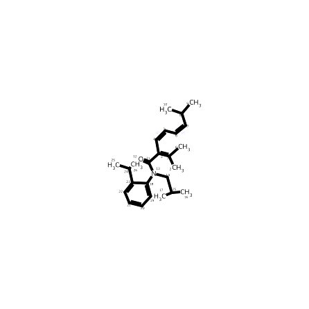 CC(C)=C(/C=C\C=C/C(C)C)C(=O)N(CC(C)C)c1ccccc1C(C)C